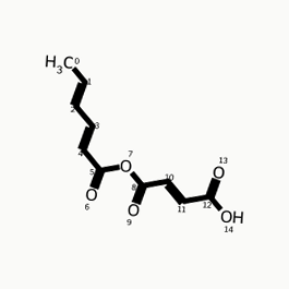 CC=CC=CC(=O)OC(=O)C=CC(=O)O